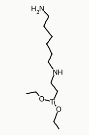 CC[O][Ti]([CH2]CNCCCCCCN)[O]CC